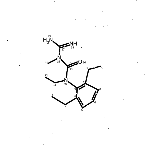 CCc1cccc(CC)c1N(CC)C(=O)N(C)C(=N)N